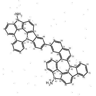 Nn1c2cccc3c4ccccc4n4c5ccc(-c6ccc7ccc8c(c7c6)c6cccc7c6c6c(ccc9c%10ccccc%10n8c96)n7N)cc5c5ccc1c(c32)c54